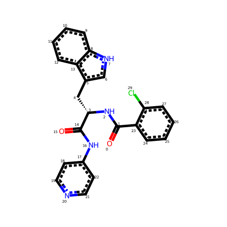 O=C(N[C@@H](Cc1c[nH]c2ccccc12)C(=O)Nc1ccncc1)c1ccccc1Cl